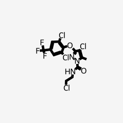 Cc1c(Cl)c(Oc2c(Cl)cc(C(F)(F)F)cc2Cl)nn1C(=O)NCCCl